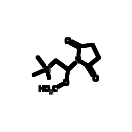 C[Si](C)(C)CC(OC(=O)O)N1C(=O)CCC1=O